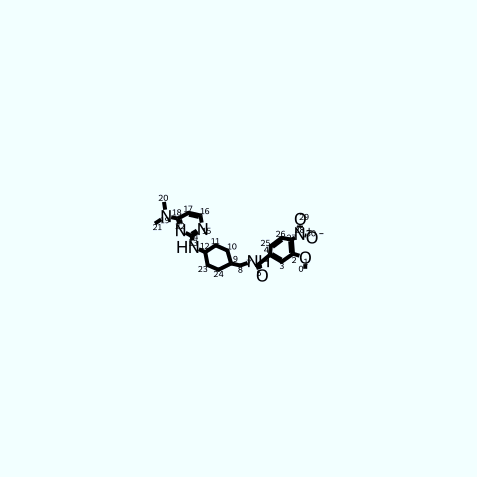 COc1cc(C(=O)NCC2CCC(Nc3nccc(N(C)C)n3)CC2)ccc1[N+](=O)[O-]